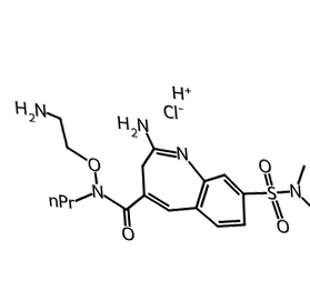 CCCN(OCCN)C(=O)C1=Cc2ccc(S(=O)(=O)N(C)C)cc2N=C(N)C1.[Cl-].[H+]